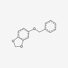 c1ccc(COc2ccc3c(c2)OCO3)cc1